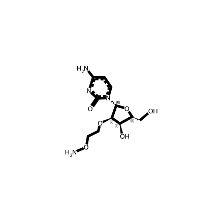 NOCCO[C@@H]1[C@H](O)[C@@H](CO)O[C@H]1n1ccc(N)nc1=O